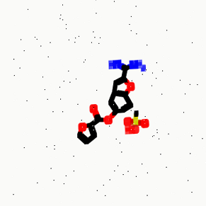 CS(=O)(=O)O.N=C(N)c1cc2cc(OC(=O)c3ccco3)ccc2o1